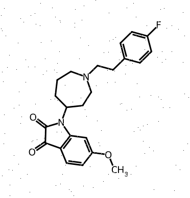 COc1ccc2c(c1)N(C1CCCN(CCc3ccc(F)cc3)CC1)C(=O)C2=O